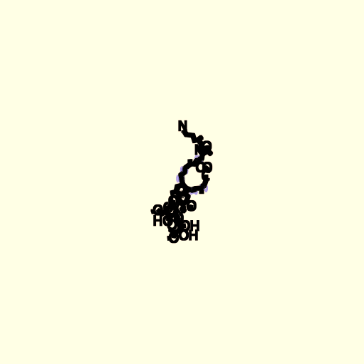 COCC1OC(OC2CC(OC)CC3[C@H]2C(C)=CC2/C=C/C=C/C(C)C(/C=C/c4nc(C(C)CCCC#N)oc4C)OC(=O)CC/C=C(C)\C=C\C23C)C(OC)C(OC2OCC(OC)C(O)C2O)C1O